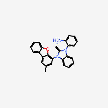 C=C1N(c2ccccc2N)c2ccccc2N1c1cc(C)cc2c1oc1ccccc12